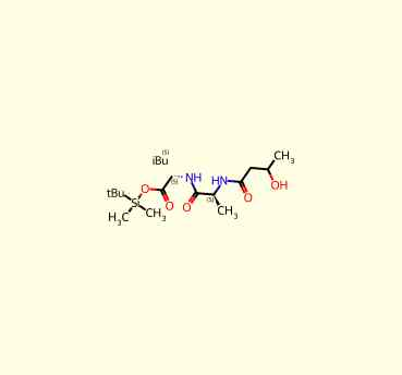 CC[C@H](C)[C@H](NC(=O)[C@H](C)NC(=O)CC(C)O)C(=O)O[Si](C)(C)C(C)(C)C